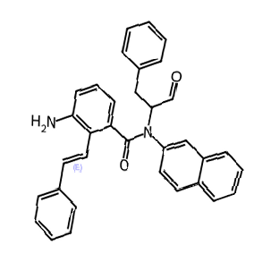 Nc1cccc(C(=O)N(c2ccc3ccccc3c2)C(C=O)Cc2ccccc2)c1/C=C/c1ccccc1